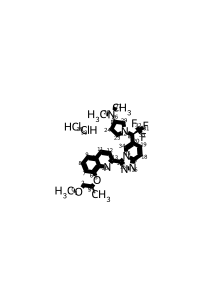 COC[C@@H](C)Oc1cccc2ccc(-c3nnc4ccc([C@@H](N5CC[C@H](N(C)C)C5)C(F)(F)F)cn34)nc12.Cl.Cl